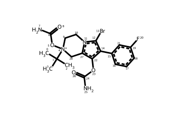 CC(C)(C)[N+]1(OC(N)=O)CCn2c(Br)c(-c3cccc(F)c3)c(OC(N)=O)c2C1